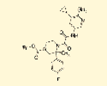 CC(C)OC(=O)N1CCN(C(=O)C(=O)Nc2cnc(N)c(C3CC3)c2)[C@](C)(c2ccc(F)cc2)C1